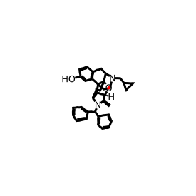 C=C1[C@H]2OC34CCC(C2C32CCN(CC3CC3)C4Cc3ccc(O)cc32)N1C(c1ccccc1)c1ccccc1